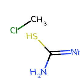 CCl.N=C(N)S